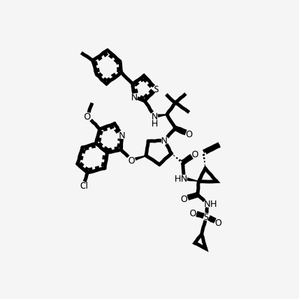 C=C[C@@H]1C[C@]1(NC(=O)[C@@H]1C[C@@H](Oc2ncc(OC)c3ccc(Cl)cc23)CN1C(=O)[C@@H](Nc1nc(-c2ccc(C)cc2)cs1)C(C)(C)C)C(=O)NS(=O)(=O)C1CC1